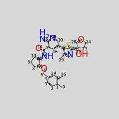 Cc1ccc(CO[C@H]2CCC[C@@H]2NC(=O)c2cc(-c3sc(C4(O)CCOC4)nc3C)cnc2N)cc1C